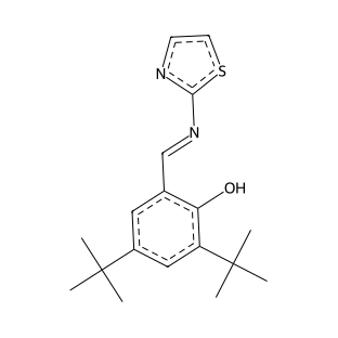 CC(C)(C)c1cc(/C=N/c2nccs2)c(O)c(C(C)(C)C)c1